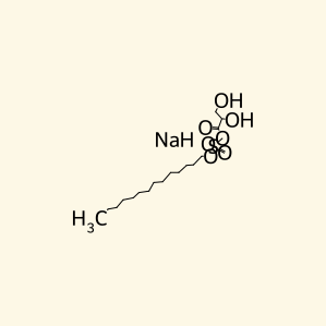 CCCCCCCCCCCCCCOS(=O)(=O)OC(=O)C(O)CO.[NaH]